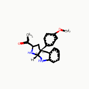 COc1ccc([C@]23CC(C(C)=O)N[C@H]2Nc2ccccc23)cc1